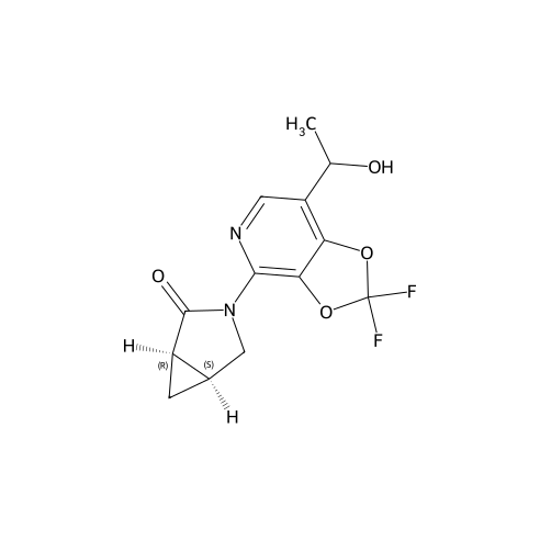 CC(O)c1cnc(N2C[C@H]3C[C@H]3C2=O)c2c1OC(F)(F)O2